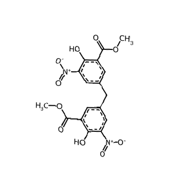 COC(=O)c1cc(Cc2cc(C(=O)OC)c(O)c([N+](=O)[O-])c2)cc([N+](=O)[O-])c1O